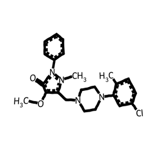 COc1c(CN2CCN(c3cc(Cl)ccc3C)CC2)n(C)n(-c2ccccc2)c1=O